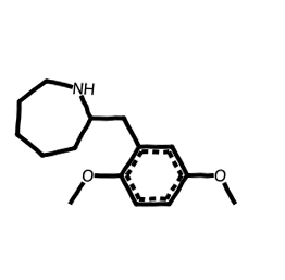 COc1ccc(OC)c(CC2CCCCCN2)c1